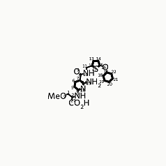 COCC(Nc1ccc(C(=O)NCc2ccc(Oc3ccccc3)s2)c(N)n1)C(=O)O